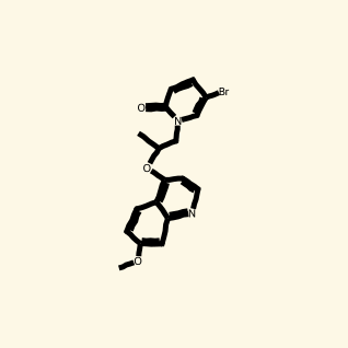 COc1ccc2c(OC(C)Cn3cc(Br)ccc3=O)ccnc2c1